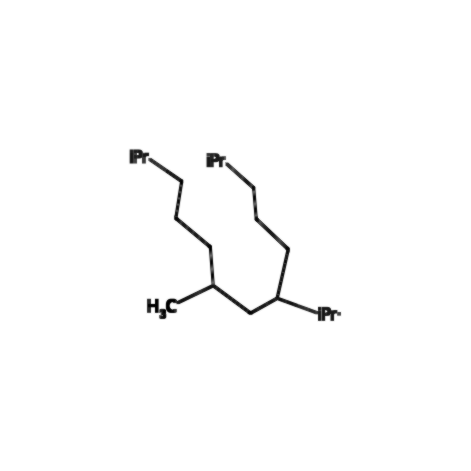 C[C](C)C(CCCC(C)C)CC(C)CCCC(C)C